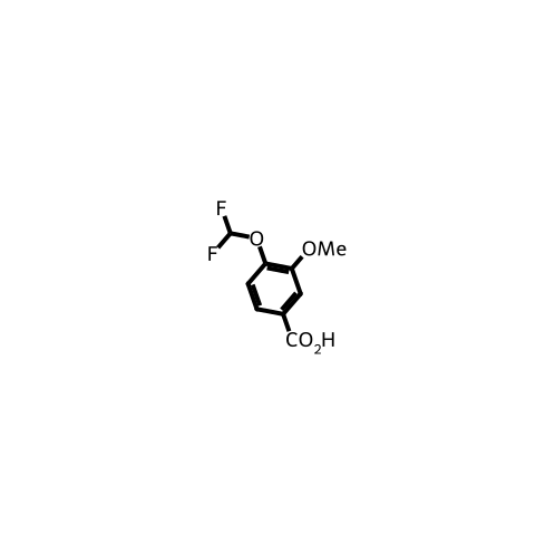 COc1cc(C(=O)O)ccc1OC(F)F